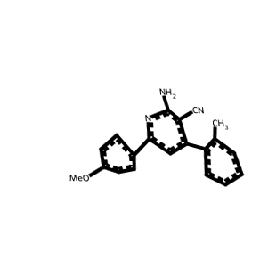 COc1ccc(-c2cc(-c3ccccc3C)c(C#N)c(N)n2)cc1